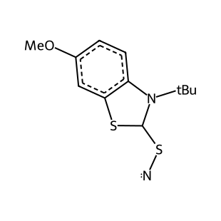 COc1ccc2c(c1)SC(S[N])N2C(C)(C)C